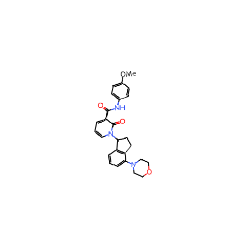 COc1ccc(NC(=O)c2cccn(C3CCc4c3cccc4N3CCOCC3)c2=O)cc1